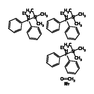 C=O.CC[PH](c1ccccc1)(c1ccccc1)[Si](C)(C)C.CC[PH](c1ccccc1)(c1ccccc1)[Si](C)(C)C.CC[PH](c1ccccc1)(c1ccccc1)[Si](C)(C)C.[Rh]